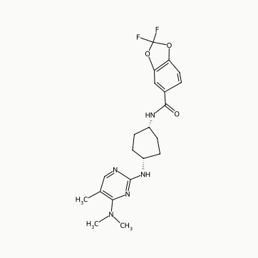 Cc1cnc(N[C@H]2CC[C@@H](NC(=O)c3ccc4c(c3)OC(F)(F)O4)CC2)nc1N(C)C